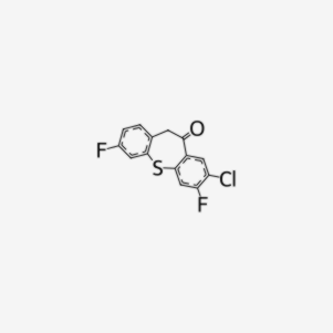 O=C1Cc2ccc(F)cc2Sc2cc(F)c(Cl)cc21